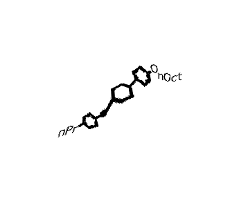 CCCCCCCCOc1ccc(C2CCC(C#Cc3ccc(CCC)cc3)CC2)cc1